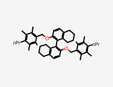 CCCc1c(C)c(C)c(COc2ccc3c(c2-c2c(OCc4c(C)c(C)c(CCC)c(C)c4C)ccc4c2CCCC4)CCCC3)c(C)c1C